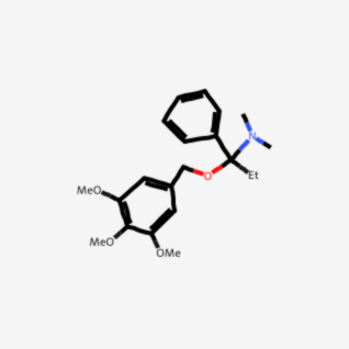 CCC(OCc1cc(OC)c(OC)c(OC)c1)(c1ccccc1)N(C)C